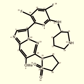 COc1cc2ncc(-c3nc(N[C@@H]4CCCNC4)c(F)cc3F)n2nc1N1CCCS1(=O)=O